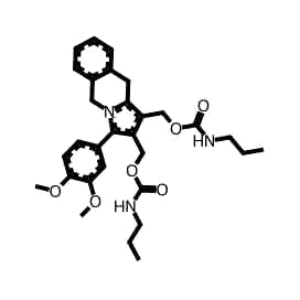 CCCNC(=O)OCc1c(COC(=O)NCCC)c(-c2ccc(OC)c(OC)c2)n2c1Cc1ccccc1C2